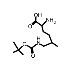 CC(CCC(N)C(=O)O)CNC(=O)OC(C)(C)C